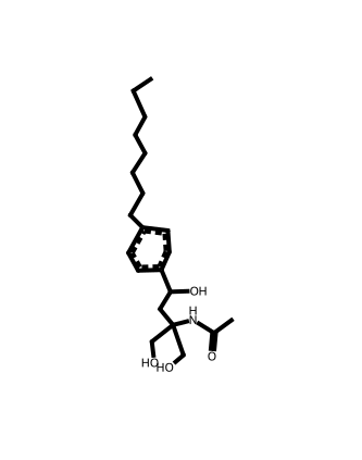 CCCCCCCCc1ccc(C(O)CC(CO)(CO)NC(C)=O)cc1